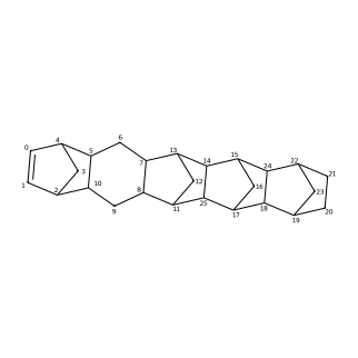 C1=CC2CC1C1CC3C(CC21)C1CC3C2C3CC(C4C5CCC(C5)C34)C12